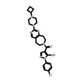 CCCc1c(C(=O)N2CCc3cnc(N4CCN(C5CCC5)CC4)nc3CC2)cnn1-c1ccc(Cl)cc1